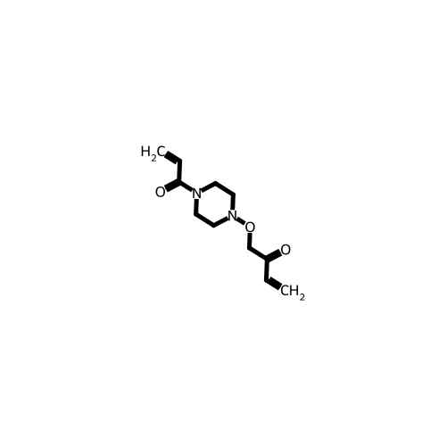 C=CC(=O)CON1CCN(C(=O)C=C)CC1